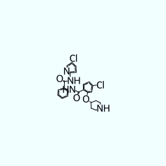 O=C(Nc1ccc(Cl)cn1)c1ccccc1NC(=O)c1ccc(Cl)cc1OC1CCNCC1